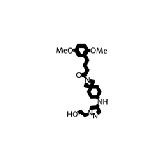 COc1ccc(OC)c(CCCC(=O)N2CC3(CCC(Nc4cnn(CCO)c4)CC3)C2)c1